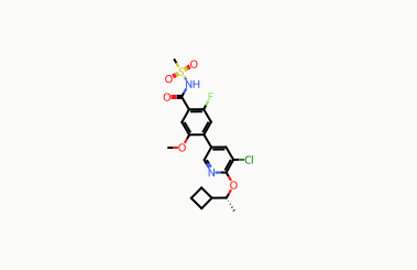 COc1cc(C(=O)NS(C)(=O)=O)c(F)cc1-c1cnc(O[C@H](C)C2CCC2)c(Cl)c1